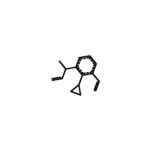 C=C[C](C)c1cccc(C=C)c1C1CC1